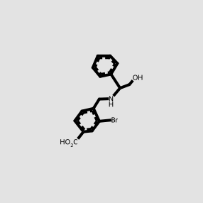 O=C(O)c1ccc(CNC(CO)c2ccccc2)c(Br)c1